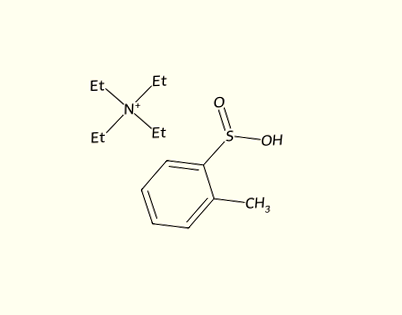 CC[N+](CC)(CC)CC.Cc1ccccc1S(=O)O